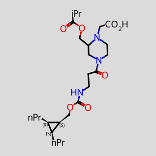 CCC[C@@H]1[C@H](CCC)[C@@H]1COC(=O)NCCC(=O)N1CCN(CC(=O)O)C(COC(=O)C(C)C)C1